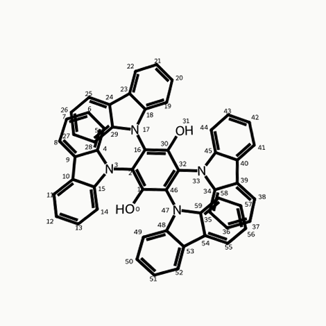 Oc1c(-n2c3ccccc3c3ccccc32)c(-n2c3ccccc3c3ccccc32)c(O)c(-n2c3ccccc3c3ccccc32)c1-n1c2ccccc2c2ccccc21